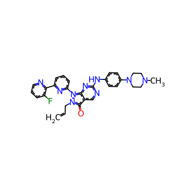 C=CCn1c(=O)c2cnc(Nc3ccc(N4CCN(C)CC4)cc3)nc2n1-c1cccc(-c2ncccc2F)n1